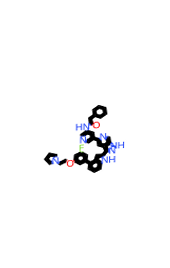 O=C(CC1CCCCC1)Nc1cncc(-c2cc3c(-c4cc5c(-c6cc(F)cc(OCCN7CCCC7)c6)cccc5[nH]4)n[nH]c3cn2)c1